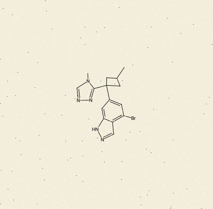 CC1CC(c2cc(Br)c3cn[nH]c3c2)(c2nncn2C)C1